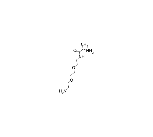 CC(N)C(=O)NCCOCCOCCN